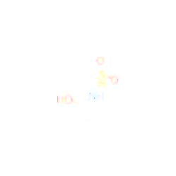 [CH2]C(O)NC[SH](=O)=O